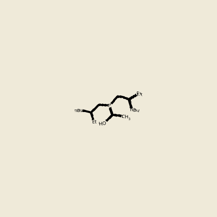 CCCCC(CC)CP(CC(CC)CCCC)C(C)O